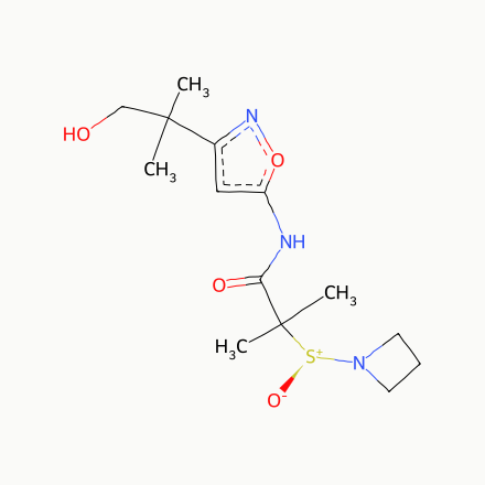 CC(C)(CO)c1cc(NC(=O)C(C)(C)[S@+]([O-])N2CCC2)on1